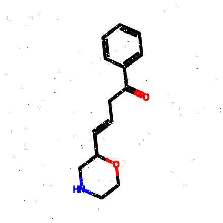 O=C(CC=CC1CNCCO1)c1ccccc1